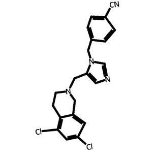 N#Cc1ccc(Cn2cncc2CN2CCc3c(Cl)cc(Cl)cc3C2)cc1